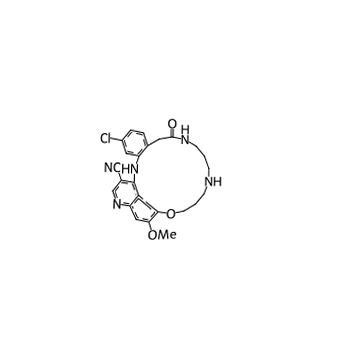 COc1cc2ncc(C#N)c3c2cc1OCCCNCCCNC(=O)Cc1ccc(Cl)cc1N3